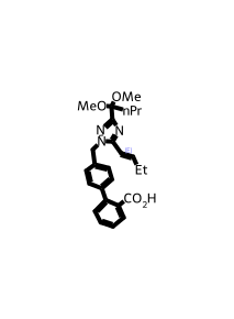 CC/C=C/c1nc(C(CCC)(OC)OC)nn1Cc1ccc(-c2ccccc2C(=O)O)cc1